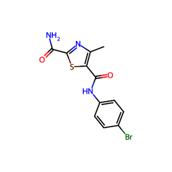 Cc1nc(C(N)=O)sc1C(=O)Nc1ccc(Br)cc1